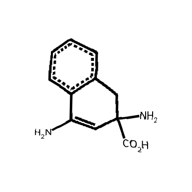 NC1=CC(N)(C(=O)O)Cc2ccccc21